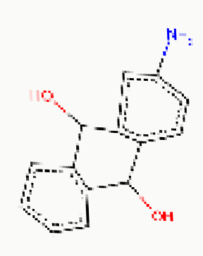 Nc1ccc2c(c1)C(O)c1cc[c]cc1C2O